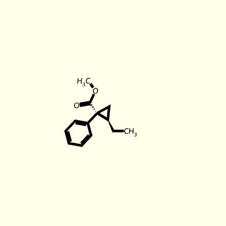 CC[C@@H]1C[C@]1(C(=O)OC)c1ccccc1